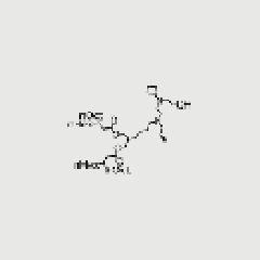 C=CCN(CCCCC(COC(=O)CC(CCCCCC)CCCCCCCC)COC(=O)CC(CCCCCC)CCCCCCCC)CCN(CCO)C1CCC1